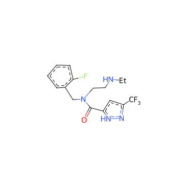 CCNCCN(Cc1ccccc1F)C(=O)c1cc(C(F)(F)F)n[nH]1